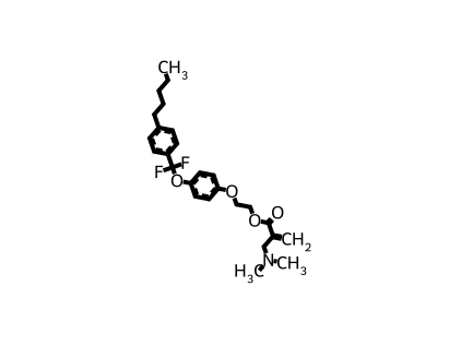 C=C(CN(C)C)C(=O)OCCOc1ccc(OC(F)(F)c2ccc(CCCCC)cc2)cc1